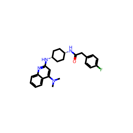 CN(C)c1cc(N[C@H]2CC[C@@H](NC(=O)Cc3ccc(F)cc3)CC2)nc2ccccc12